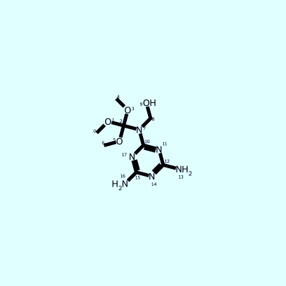 COC(OC)(OC)N(CO)c1nc(N)nc(N)n1